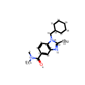 CCN(C)C(=O)c1ccc2c(c1)nc(C(C)(C)C)n2CC1CCCCC1